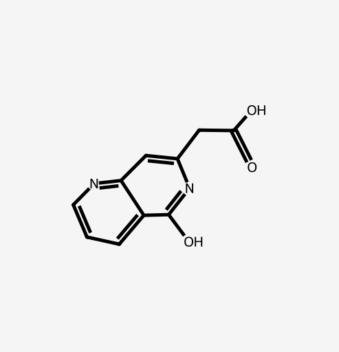 O=C(O)Cc1cc2ncccc2c(O)n1